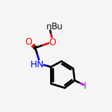 [CH2]CCCOC(=O)Nc1ccc(I)cc1